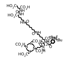 CC(C)(C)[Si](F)(c1ccc(C(=O)NC[C@H](NC(=O)CC[C@H](C(=O)O)N2CCN(CC(=O)O)CCN(CC(=O)O)CCN(CC(=O)O)CC2)C(=O)N[C@@H](CCCCCNC(=O)CCCCCCC(=O)NCCCC[C@H](NC(=O)N[C@@H](CCC(=O)O)C(=O)O)C(=O)O)C(=O)O)cc1)C(C)(C)C